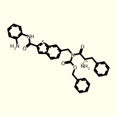 Nc1ccccc1NC(=O)c1cc2ccc(CN(C(=O)OCc3ccccc3)C(=O)[C@@H](N)Cc3ccccc3)cc2s1